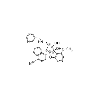 COc1cncc2c1[C@@]1(O)[C@H](O)[C@H](CNCc3cccnc3)[C@@H](c3ccccc3)[C@]1(c1ccc(C#N)cc1)O2